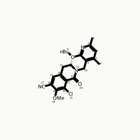 CCCCOc1nc(C)cc(C)c1CN1CCc2cc(C#N)c(OC)c(Cl)c2C1=O